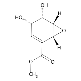 COC(=O)C1=C[C@H](O)[C@H](O)[C@@H]2O[C@H]12